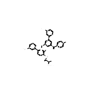 CNC(C)C(=O)Nc1ccc(-c2cccc(C#N)c2)n(Cc2cc(C(=O)c3ccc(F)cc3)cc(-c3cccc(C#N)c3)c2)c1=O